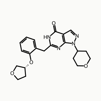 O=c1[nH]c(Cc2ccccc2O[C@@H]2CCOC2)nc2c1cnn2C1CCOCC1